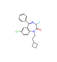 O=C1C(F)N=C(c2ccccc2)c2cc(Cl)ccc2N1CCC1CCC1